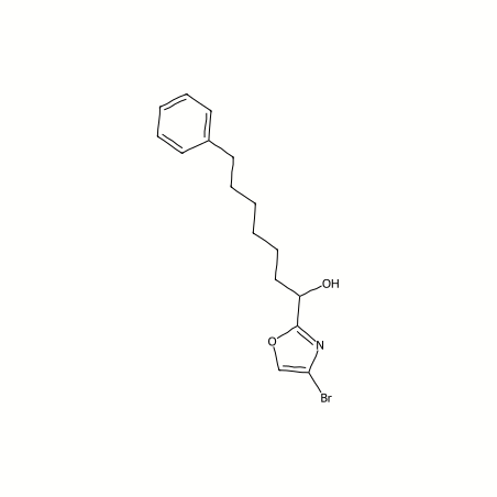 OC(CCCCCCc1ccccc1)c1nc(Br)co1